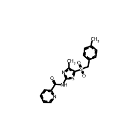 Cc1ccc(CS(=O)(=O)c2sc(NC(=O)c3ccccn3)nc2C)cc1